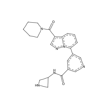 O=C(NC1CNC1)c1cncc(-c2cccc3c(C(=O)N4CCCCC4)cnn23)c1